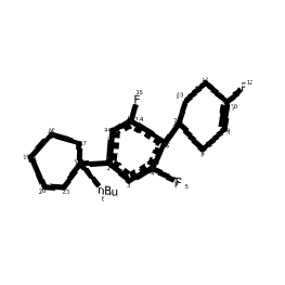 CCCCC1(c2cc(F)c(C3CC=C(F)CC3)c(F)c2)CCCCC1